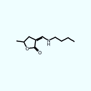 CCCCN/C=C1/CC(C)OC1=O